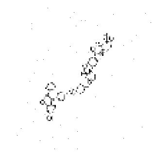 O=C1CC[C@@H](N2Cc3cc4c(cc3C2=O)OC[C@H]2CN(CC3CCC5(CC3)CN(c3ccc([C@H]6c7ccc(O)cc7OC[C@H]6c6ccccc6)cc3)C5)CCN42)C(=O)N1